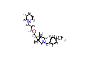 FC(F)(F)c1ccc(CN2C[C@@H]3C(COCCCN4CCCCC4)[C@@H]3C2)cc1